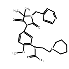 CC1(C)C(=O)N(c2ccc(OC(F)(F)F)c(N(CCN3CCCCC3)C(=O)C(F)(F)F)c2)C(=O)N1Cc1ccncc1